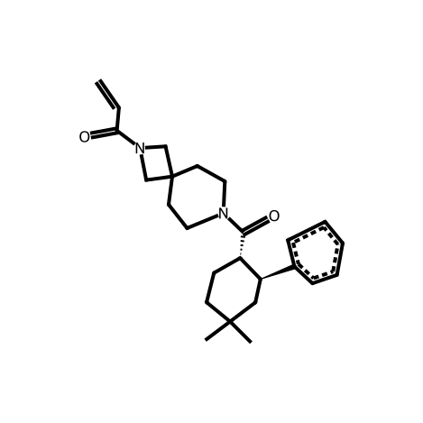 C=CC(=O)N1CC2(CCN(C(=O)[C@H]3CCC(C)(C)C[C@@H]3c3ccccc3)CC2)C1